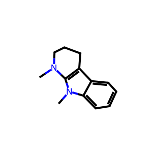 CN1CCCc2c1n(C)c1ccccc21